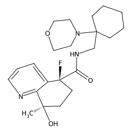 C[C@@]1(O)CC[C@@](F)(C(=O)NCC2(N3CCOCC3)CCCCC2)c2cccnc21